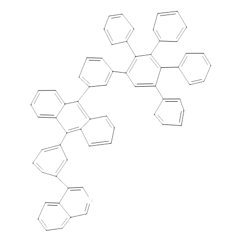 c1ccc(-c2cc(-c3cccc(-c4c5ccccc5c(-c5cccc(-c6cncc7ccccc67)c5)c5ccccc45)c3)c(-c3ccccc3)c(-c3ccccc3)c2-c2ccccc2)cc1